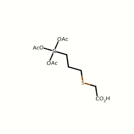 CC(=O)O[Si](CCCSCC(=O)O)(OC(C)=O)OC(C)=O